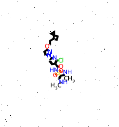 CN/C=C(\C(C)=N)S(=O)(=O)NC(=O)c1ccc(-n2ccc(OCCC3CCC34CC4)n2)nc1Cl